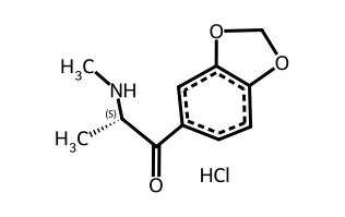 CN[C@@H](C)C(=O)c1ccc2c(c1)OCO2.Cl